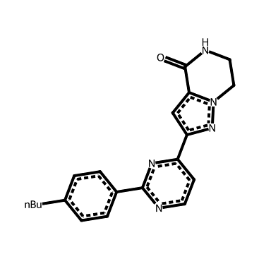 CCCCc1ccc(-c2nccc(-c3cc4n(n3)CCNC4=O)n2)cc1